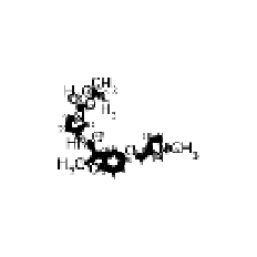 Cc1oc2ccc(OCc3ccn(C)n3)cc2c1C(=O)NC1CCN(C(=O)OC(C)(C)C)C1